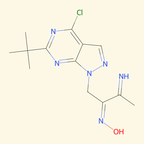 CC(=N)/C(Cn1ncc2c(Cl)nc(C(C)(C)C)nc21)=N\O